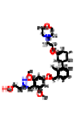 COc1cc(OCc2cccc(C3C=CC=C(OCCN4CCOCC4)C3)c2C)cc(OC)c1CNCCO